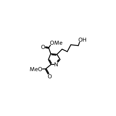 COC(=O)c1cc(C(=O)OC)c(CCCCO)cn1